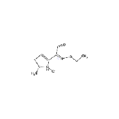 CCO/N=C(\[C]=O)C1=CSN(N)[NH+]1[O-]